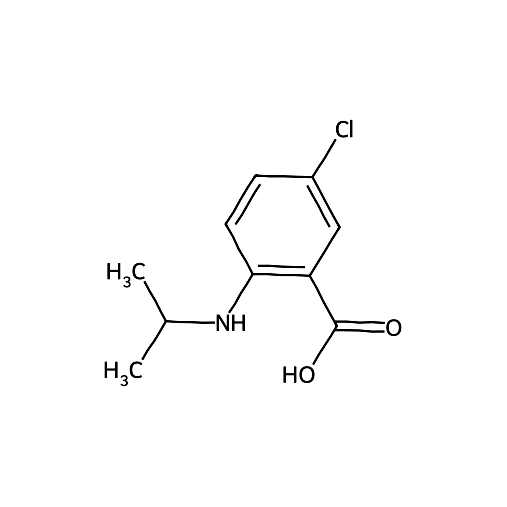 CC(C)Nc1ccc(Cl)cc1C(=O)O